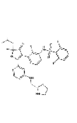 CC(C)CC1(C)OC(c2ccnc(NC[C@@H]3CCCN3)n2)=C(c2cccc(NS(=O)(=O)c3c(F)cccc3F)c2F)C1=O